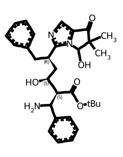 CC(C)(C)OC(=O)[C@@H](C(N)c1ccccc1)[C@@H](O)C[C@@H](Cc1ccccc1)c1ncc2n1C(O)C(C)(C)C2=O